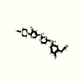 CN1CCN(c2ncc(Nc3nccc(Nc4ccc(F)c(CC#N)c4)n3)cc2F)CC1